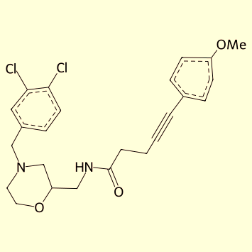 COc1ccc(C#CCCC(=O)NCC2CN(Cc3ccc(Cl)c(Cl)c3)CCO2)cc1